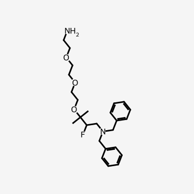 CC(C)(OCCOCCOCCN)C(F)CN(Cc1ccccc1)Cc1ccccc1